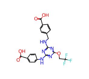 O=C(O)c1ccc(CNc2nc(Nc3ccc(C(=O)O)cc3)nc(OCC(F)(F)F)n2)cc1